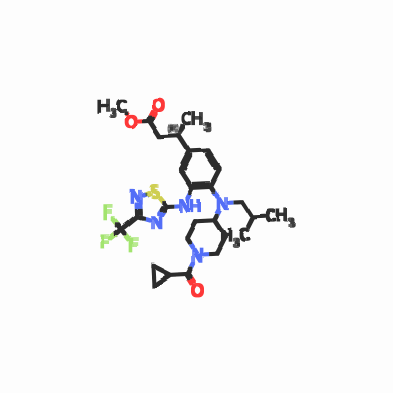 COC(=O)C[C@@H](C)c1ccc(N(CC(C)C)C2CCN(C(=O)C3CC3)CC2)c(Nc2nc(C(F)(F)F)ns2)c1